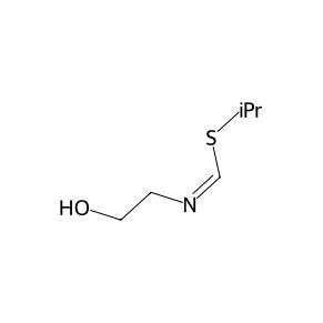 CC(C)S/C=N\CCO